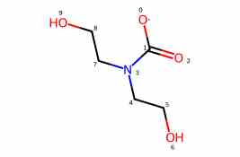 [O]C(=O)N(CCO)CCO